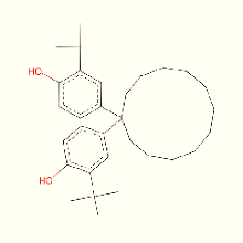 CC(C)(C)c1cc(C2(c3ccc(O)c(C(C)(C)C)c3)CCCCCCCCCCC2)ccc1O